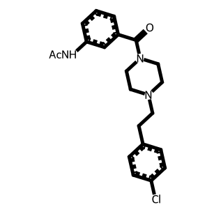 CC(=O)Nc1cccc(C(=O)N2CCN(CCc3ccc(Cl)cc3)CC2)c1